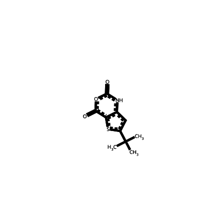 CC(C)(C)c1cc2[nH]c(=O)oc(=O)c2s1